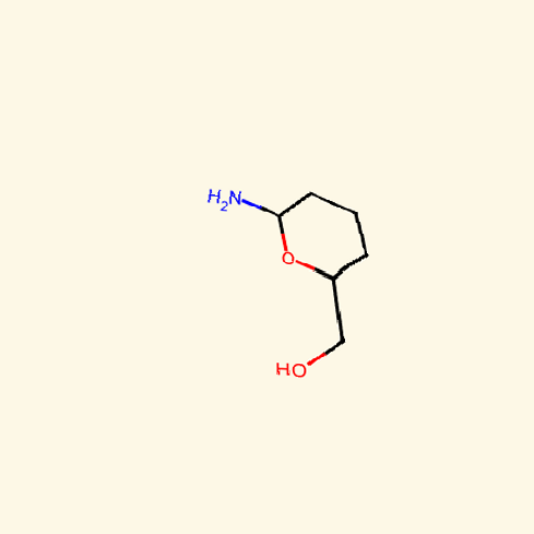 NC1CCCC(CO)O1